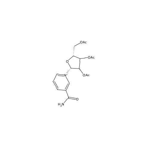 CC(=O)OC[C@H]1O[C@@H]([n+]2cccc(C(N)=O)c2)C(OC(C)=O)C1OC(C)=O